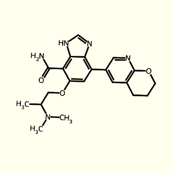 CC(COc1cc(-c2cnc3c(c2)CCCO3)c2nc[nH]c2c1C(N)=O)N(C)C